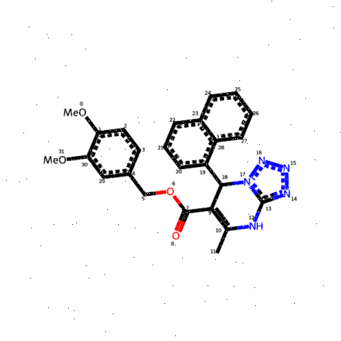 COc1ccc(COC(=O)C2=C(C)Nc3nnnn3C2c2cccc3ccccc23)cc1OC